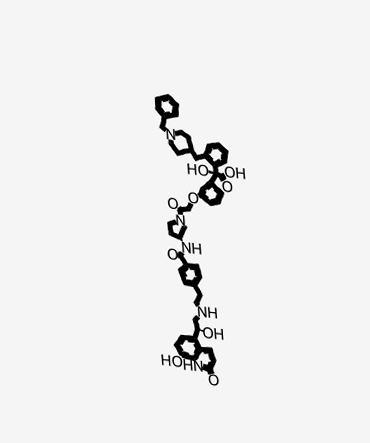 O=C(N[C@@H]1CCN(C(=O)COc2cccc([C@@](O)(C(=O)O)c3ccccc3CC3CCN(Cc4ccccc4)CC3)c2)C1)c1ccc(CCNC[C@H](O)c2ccc(O)c3[nH]c(=O)ccc23)cc1